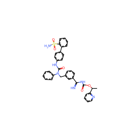 CC(OC(=O)NC(=N)c1cccc(CN(C(=O)Nc2ccc(-c3ccccc3S(N)(=O)=O)cc2)c2ccccc2)c1)c1ccccn1